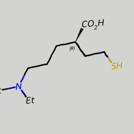 CCN(CC)CCC[C@H](CCS)C(=O)O